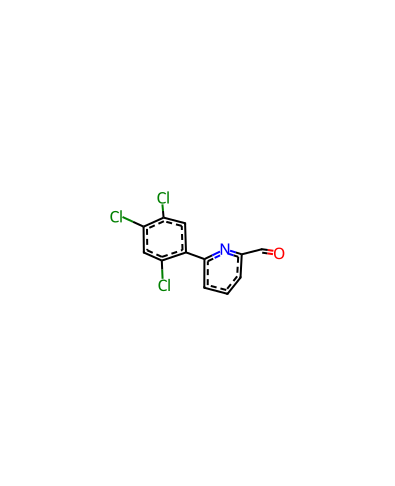 O=Cc1cccc(-c2cc(Cl)c(Cl)cc2Cl)n1